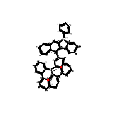 c1ccc(-c2ccccc2N(c2cccc(-c3c4ccccc4cc4c3c3ccccc3n4-c3ccccc3)c2)c2ccccc2-c2ccccc2)cc1